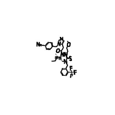 CC[C@H](C)[C@@H](CN(Cc1ccccc1C(F)(F)F)C(=S)NCCOC)NC(=O)Cc1cncn1Cc1ccc(C#N)cc1